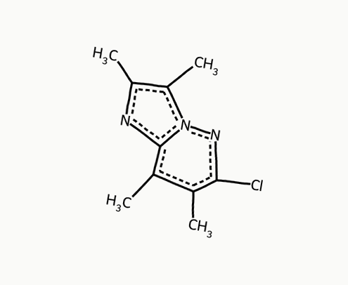 Cc1nc2c(C)c(C)c(Cl)nn2c1C